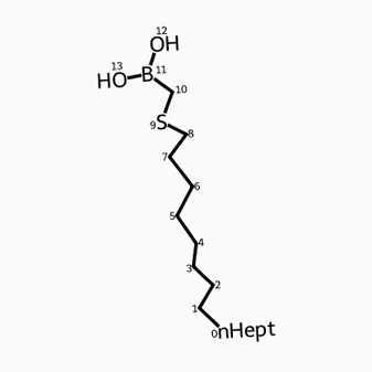 CCCCCCCCCCCCCCCSCB(O)O